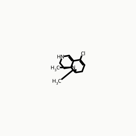 CC1CC2CC=C(Cl)C3=CNCCC32N1C